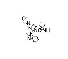 Cc1nc2ccccc2n1-c1nc(C2CCCS2(=N)=O)cc(N2CCOC[C@H]2C)n1